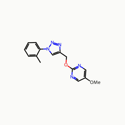 COc1cnc(OCc2cn(-c3ccccc3C)nn2)nc1